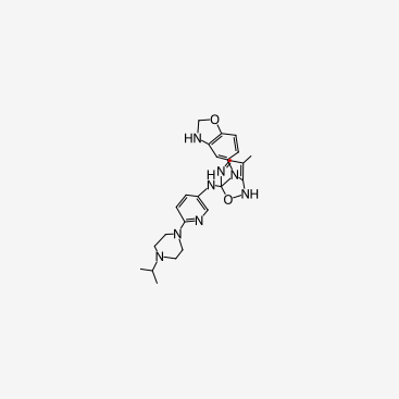 CC1=C2NOC(Nc3ccc(N4CCN(C(C)C)CC4)nc3)(N=C1)N2c1ccc2c(c1)NCO2